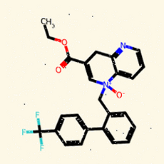 CCOC(=O)C1=C[N+]([O-])(Cc2ccccc2-c2ccc(C(F)(F)F)cc2)c2cccnc2C1